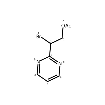 CC(=O)OCC(Br)c1ncccn1